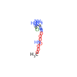 CCOCCOCCOCCC(=O)NCCOCCOCCOCCN1CCN(c2cccc(-c3nc(NC(=N)N)nc4ccc(Cl)cc34)c2)CC1